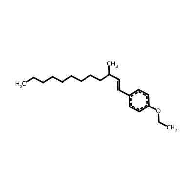 CCCCCCCCCC(C)C=Cc1ccc(OCC)cc1